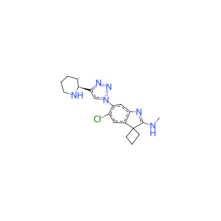 CNC1=Nc2cc(-n3cc([C@@H]4CCCCN4)nn3)c(Cl)cc2C12CCC2